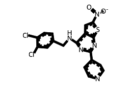 O=[N+]([O-])c1cc2c(NCc3ccc(Cl)c(Cl)c3)nc(-c3ccncc3)nc2s1